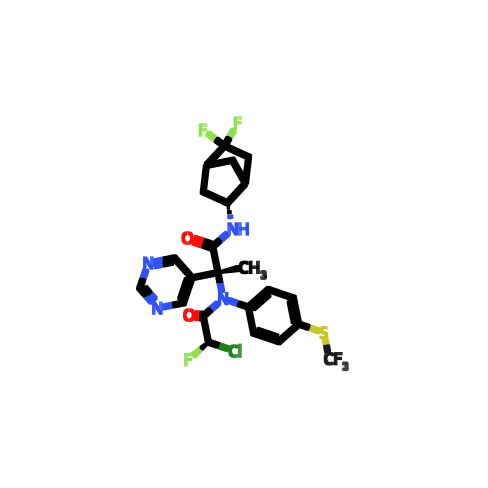 C[C@](C(=O)N[C@@H]1CC2CC1CC2(F)F)(c1cncnc1)N(C(=O)[C@H](F)Cl)c1ccc(SC(F)(F)F)cc1